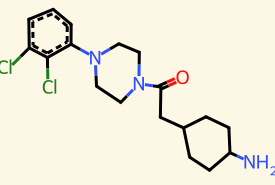 NC1CCC(CC(=O)N2CCN(c3cccc(Cl)c3Cl)CC2)CC1